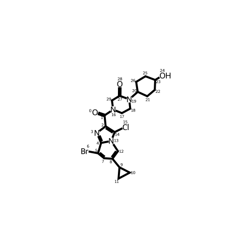 O=C(c1nc2c(Br)cc(C3CC3)cn2c1Cl)N1CCN(C2CCC(O)CC2)C(=O)C1